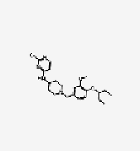 CCC(CC)Oc1ccc(CN2CCC(Nc3ccnc(Cl)n3)CC2)cc1OC